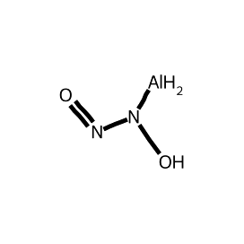 O=N[N](O)[AlH2]